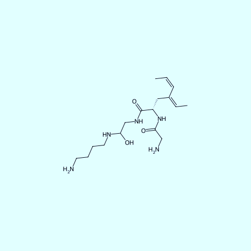 C/C=C\C(=C/C)C[C@H](NC(=O)CN)C(=O)NCC(O)NCCCCN